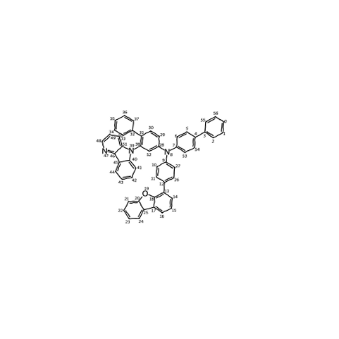 c1ccc(-c2ccc(N(c3ccc(-c4cccc5c4oc4ccccc45)cc3)c3ccc(-c4ccccc4)c(-n4c5ccccc5c5ncccc54)c3)cc2)cc1